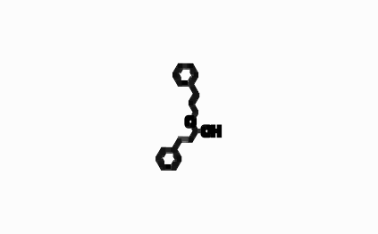 OC(C=Cc1ccccc1)OC/C=C/c1ccccc1